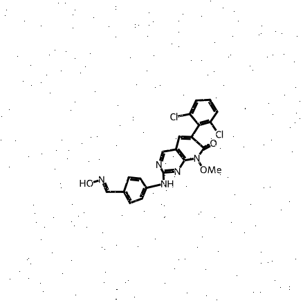 COn1c(=O)c(-c2c(Cl)cccc2Cl)cc2cnc(Nc3ccc(C=NO)cc3)nc21